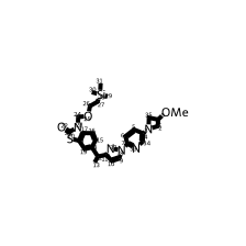 COC1CN(c2ccc(-n3ccc(C(C)c4ccc5c(c4)sc(=O)n5COCC[Si](C)(C)C)n3)nc2)C1